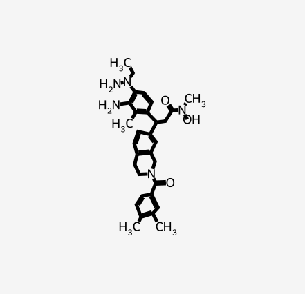 CCN(N)c1ccc(C(CC(=O)N(C)O)c2ccc3c(c2)CN(C(=O)c2ccc(C)c(C)c2)CC3)c(C)c1N